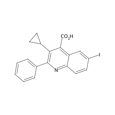 O=C(O)c1c(C2CC2)c(-c2ccccc2)nc2ccc(I)cc12